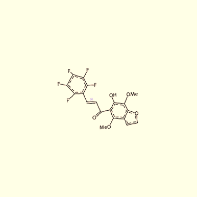 COc1c(C(=O)/C=C/c2c(F)c(F)c(F)c(F)c2F)c(O)c(OC)c2occc12